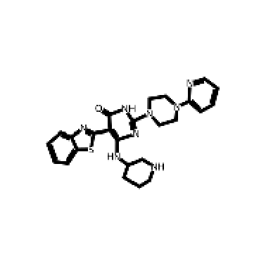 O=c1[nH]c(N2CCN(c3ccccn3)CC2)nc(NC2CCCNC2)c1-c1nc2ccccc2s1